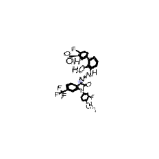 Cc1ccc(N2C(=O)/C(=N\Nc3cccc(-c4ccc(F)c(C(=O)O)c4)c3O)c3ccc(C(F)(F)F)cc32)cc1F